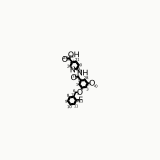 COc1cc(OCc2ccccc2F)cc(C(=O)Nc2ccc(C(=O)O)cn2)c1